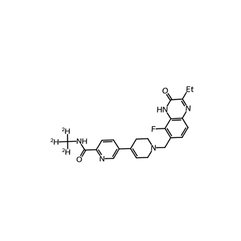 [2H]C([2H])([2H])NC(=O)c1ccc(C2=CCN(Cc3ccc4nc(CC)c(=O)[nH]c4c3F)CC2)cn1